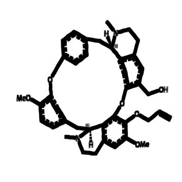 C=CCOc1c(OC)cc2c3c1Oc1cc4c(cc1CO)CCN(C)[C@H]4Cc1ccc(cc1)Oc1cc(ccc1OC)C[C@@H]3N(C)CC2